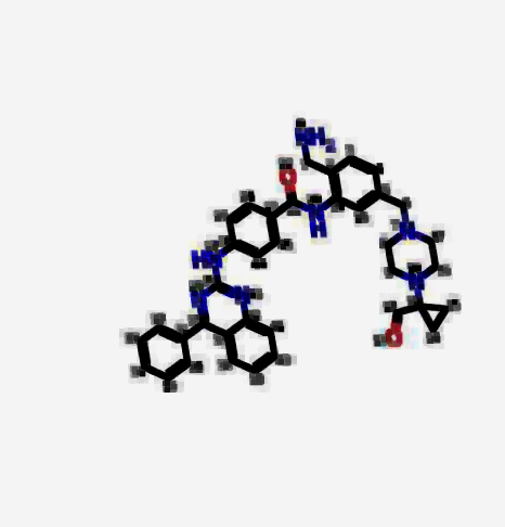 NCc1ccc(CN2CCN(C3(C=O)CC3)CC2)cc1NC(=O)c1ccc(Nc2nc(-c3ccccc3)c3ccccc3n2)cc1